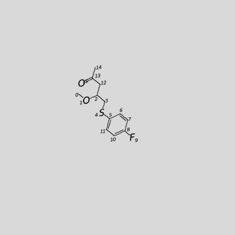 COC(CSc1ccc(F)cc1)CC(C)=O